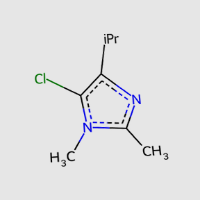 Cc1nc(C(C)C)c(Cl)n1C